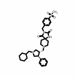 CS(=O)(=O)c1ccc(CN2C(=O)NC3(CCN(C[C@H]4CN(CC5CCCCC5)C[C@@H]4c4ccccc4)CC3)C2=O)cc1